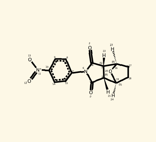 O=C1[C@@H]2[C@H](C(=O)N1c1ccc([N+](=O)[O-])cc1)[C@H]1CC[C@@H]2O1